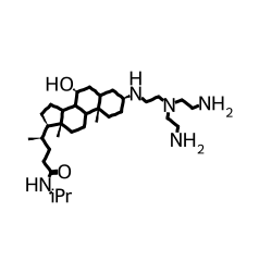 CC(C)NC(=O)CC[C@@H](C)[C@H]1CCC2C3C(CC[C@@]21C)[C@@]1(C)CC[C@H](NCCN(CCN)CCN)CC1C[C@H]3O